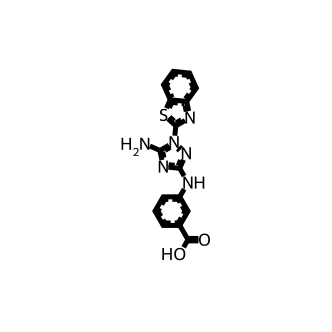 Nc1nc(Nc2cccc(C(=O)O)c2)nn1-c1nc2ccccc2s1